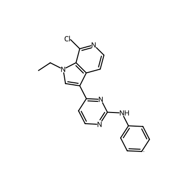 CCn1cc(-c2ccnc(Nc3cc[c]cc3)n2)c2ccnc(Cl)c21